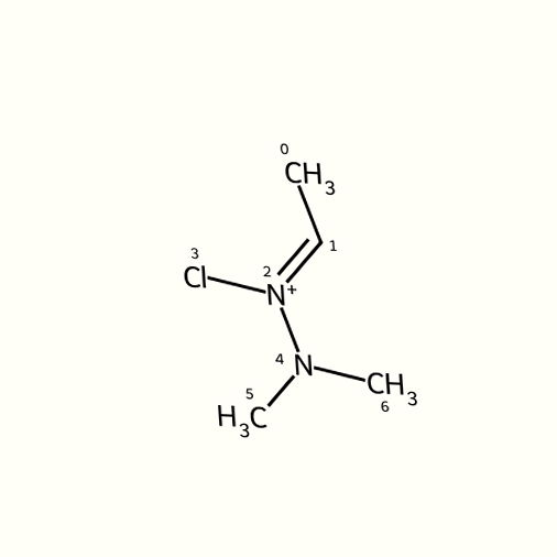 CC=[N+](Cl)N(C)C